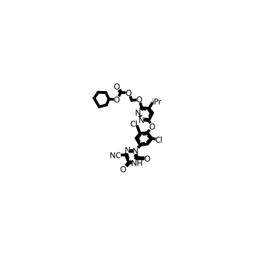 CC(C)c1cc(Oc2c(Cl)cc(-n3nc(C#N)c(=O)[nH]c3=O)cc2Cl)nnc1OCOC(=O)OC1CCCCC1